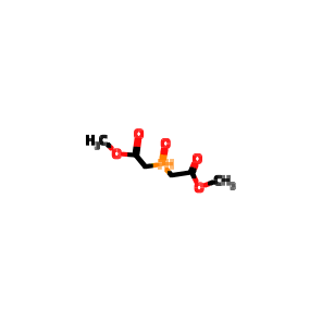 COC(=O)C[PH](=O)CC(=O)OC